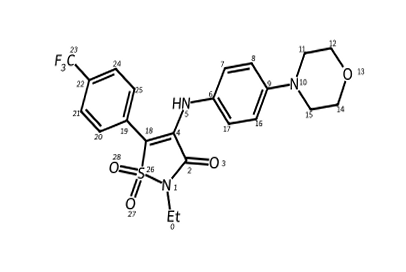 CCN1C(=O)C(Nc2ccc(N3CCOCC3)cc2)=C(c2ccc(C(F)(F)F)cc2)S1(=O)=O